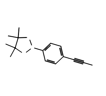 CC1(C)OB(c2ccc(C#C[SiH3])cc2)OC1(C)C